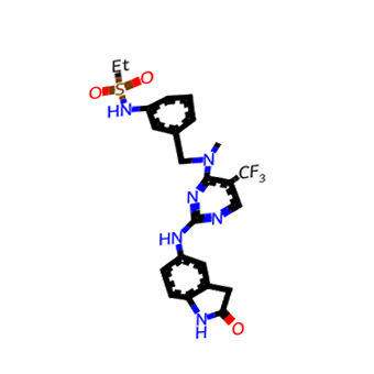 CCS(=O)(=O)Nc1cccc(CN(C)c2nc(Nc3ccc4c(c3)CC(=O)N4)ncc2C(F)(F)F)c1